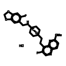 COc1ccc2ncc(F)c(CCC34CCC(NCc5cc6c(cc5F)OCO6)(CC3)CO4)c2n1.Cl